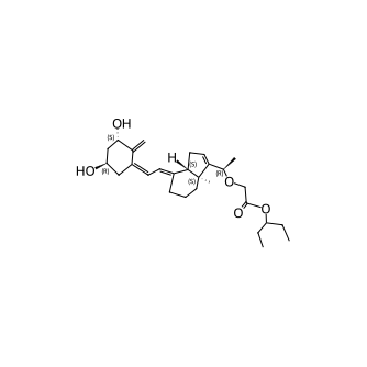 C=C1C(=CC=C2CCC[C@]3(C)C([C@@H](C)OCC(=O)OC(CC)CC)=CC[C@@H]23)C[C@@H](O)C[C@@H]1O